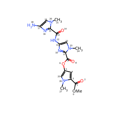 COC(=O)c1cc(OC(=O)c2nc(NC(=O)c3nc(N)cn3C)cn2C)cn1C